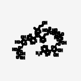 Cc1ncsc1CCO.Cc1ncsc1CCP(=O)(O)O.Nc1ncnc2c1ncn2[C@@H]1O[C@H](COP(=O)(O)OP(=O)(O)O)[C@@H](O)[C@H]1O.Nc1ncnc2c1ncn2[C@@H]1O[C@H](COP(=O)(O)OP(=O)(O)OP(=O)(O)O)[C@@H](O)[C@H]1O